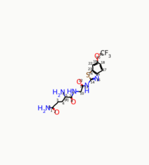 NC(=O)CC[C@@H](N)C(=O)NCC(=O)Nc1nc2ccc(OC(F)(F)F)cc2s1